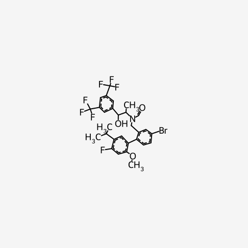 COc1cc(F)c(C(C)C)cc1-c1ccc(Br)cc1CN(C=O)C(C)C(O)c1cc(C(F)(F)F)cc(C(F)(F)F)c1